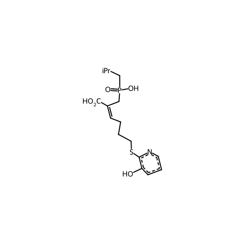 CC(C)CP(=O)(O)CC(=CCCCSc1ncccc1O)C(=O)O